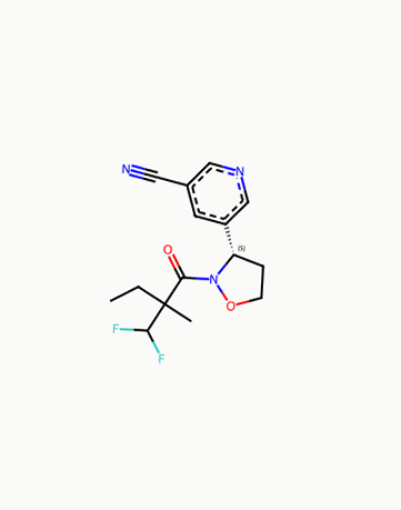 CCC(C)(C(=O)N1OCC[C@H]1c1cncc(C#N)c1)C(F)F